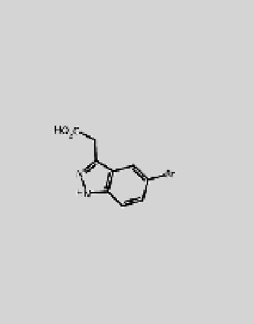 O=C(O)Cc1n[nH]c2ccc(Br)cc12